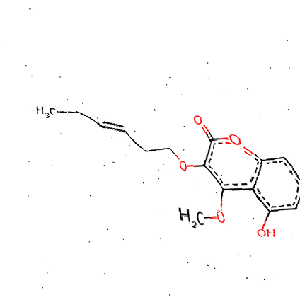 CCC=CCCOc1c(OC)c2c(O)cccc2oc1=O